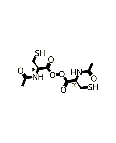 CC(=O)N[C@@H](CS)C(=O)OOC(=O)[C@H](CS)NC(C)=O